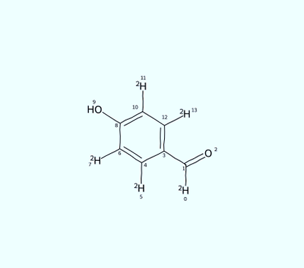 [2H]C(=O)c1c([2H])c([2H])c(O)c([2H])c1[2H]